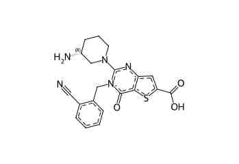 N#Cc1ccccc1Cn1c(N2CCC[C@@H](N)C2)nc2cc(C(=O)O)sc2c1=O